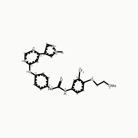 COCCOc1ccc(NC(=O)Nc2ccc(Oc3cc(-c4cnn(C)c4)ncn3)cc2)cc1C(F)(F)F